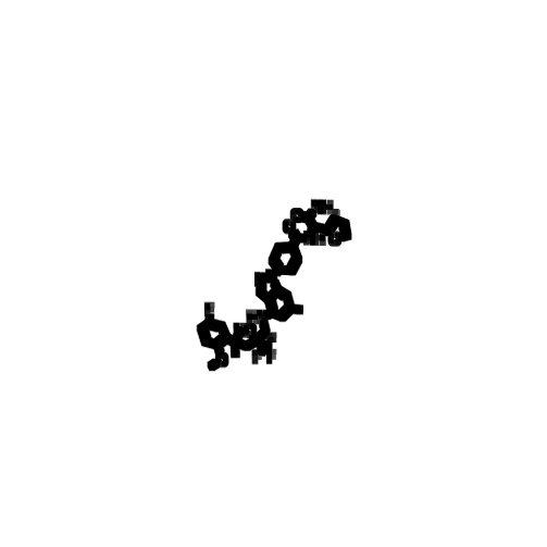 COc1ccc(F)cc1C(C)(C)CC(O)(CNc1cc(C)cc2c1cnn2-c1ccc(C(=O)NC(C(N)=O)c2ccco2)cc1)C(F)(F)F